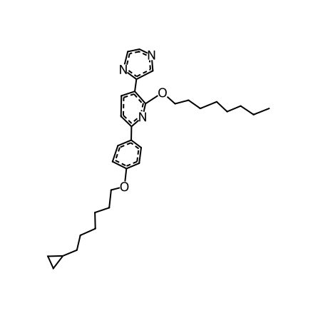 CCCCCCCCOc1nc(-c2ccc(OCCCCCCC3CC3)cc2)ccc1-c1cnccn1